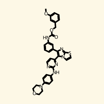 COc1cccc(COC(=O)Nc2cccc(-c3nc4sccn4c3-c3ccnc(Nc4ccc(N5CCOCC5)cc4)n3)c2)c1